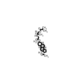 CC(=O)[C@H]1CC[C@H]2[C@@H]3CC[C@H]4C[C@](C)(OC(=O)CNC(C)(C)COC(=O)C(C)C)CC[C@]4(C)[C@H]3CC[C@]12C